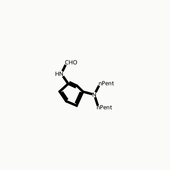 CCCCCN(CCCCC)c1cccc(NC=O)c1